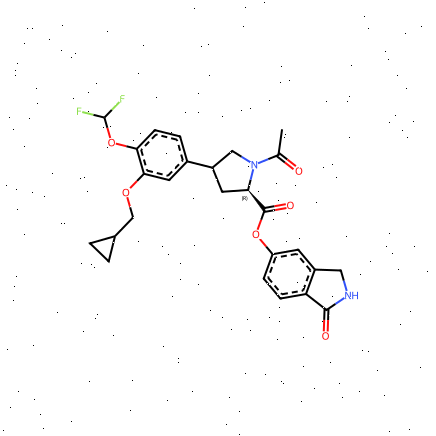 CC(=O)N1CC(c2ccc(OC(F)F)c(OCC3CC3)c2)C[C@@H]1C(=O)Oc1ccc2c(c1)CNC2=O